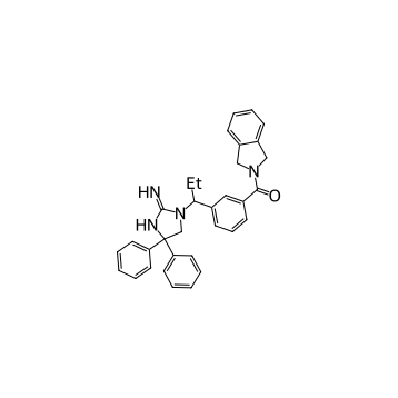 CCC(c1cccc(C(=O)N2Cc3ccccc3C2)c1)N1CC(c2ccccc2)(c2ccccc2)NC1=N